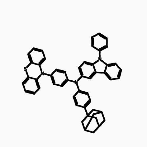 c1ccc(-n2c3ccccc3c3cc(N(c4ccc(N5c6ccccc6Sc6ccccc65)cc4)c4ccc(C56CC7CC(CC(C7)C5)C6)cc4)ccc32)cc1